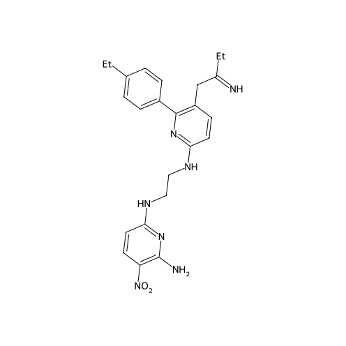 CCC(=N)Cc1ccc(NCCNc2ccc([N+](=O)[O-])c(N)n2)nc1-c1ccc(CC)cc1